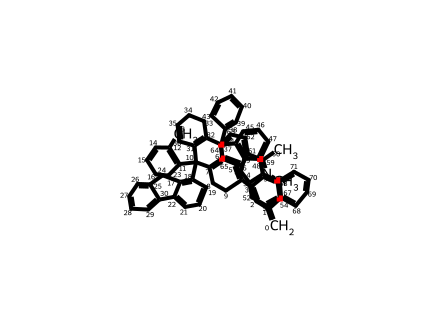 C=C(/C=C(/C1=CC2=C(CC1)C(C1=C(C)C=CCC1)(c1cccc3c1Cc1ccccc1-3)C1=C(CCC=C1)C2(c1ccccc1)c1cccc2c1Cc1ccccc1-2)N(C)C(C)c1ccccc1)c1ccccc1